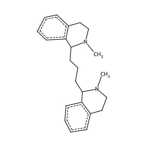 CN1CCc2ccccc2C1CCCC1c2ccccc2CCN1C